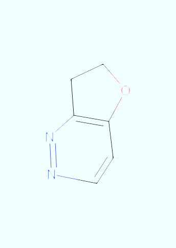 [c]1cnnc2c1OCC2